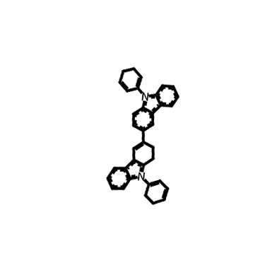 C1=CCCC(n2c3c(c4ccccc42)C=C(c2ccc4c(c2)c2ccccc2n4C2=CCCC=C2)CC3)=C1